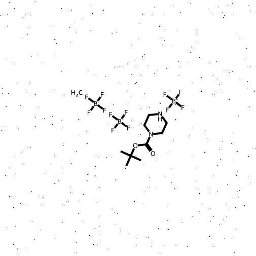 C.CC(C)(C)OC(=O)N1CCNCC1.F[B-](F)(F)F.F[B-](F)(F)F.F[B-](F)(F)F